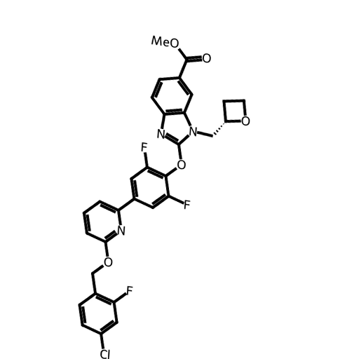 COC(=O)c1ccc2nc(Oc3c(F)cc(-c4cccc(OCc5ccc(Cl)cc5F)n4)cc3F)n(C[C@@H]3CCO3)c2c1